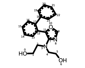 OCCN(CCO)c1ncoc1-c1ccccc1-c1ccccc1